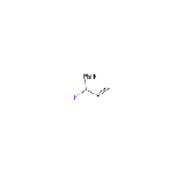 C=C[CH](I)[PbH]